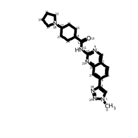 Cn1cc(-c2ccc3cnc(NC(=O)C4CCC(N5CCCC5)CC4)nc3c2)nn1